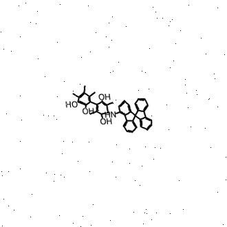 CC1=C(c2c(C)c(C)c(C)c(O)c2O)C(O)=C(C)C(Nc2cccc3c2-c2ccccc2C32c3ccccc3-c3ccccc32)C1O